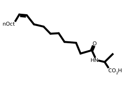 CCCCCCCC/C=C\CCCCCCCC(=O)NC(C)C(=O)O